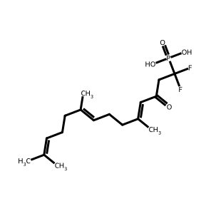 CC(C)=CCCC(C)=CCCC(C)=CC(=O)CC(F)(F)P(=O)(O)O